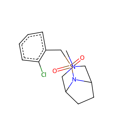 CN1CC2CCC(C1)N2S(=O)(=O)Cc1ccccc1Cl